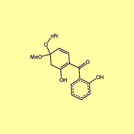 CCCOC1(OC)C=CC(C(=O)c2ccccc2O)=C(O)C1